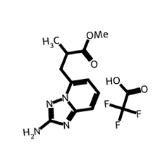 COC(=O)C(C)Cc1cccc2nc(N)nn12.O=C(O)C(F)(F)F